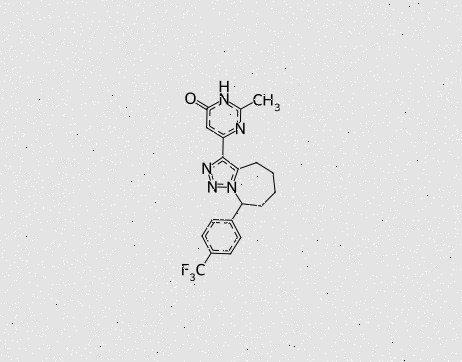 Cc1nc(-c2nnn3c2CCCCC3c2ccc(C(F)(F)F)cc2)cc(=O)[nH]1